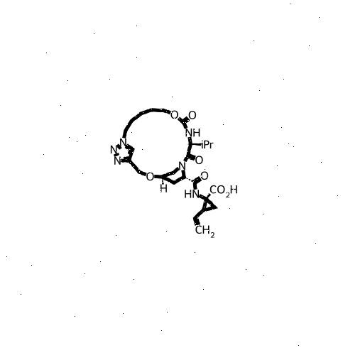 C=CC1C[C@]1(NC(=O)[C@@H]1C[C@@H]2CN1C(=O)[C@H](C(C)C)NC(=O)OCCCCCn1cc(nn1)CO2)C(=O)O